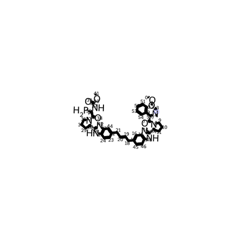 COO/C=N\[C@@H](C(=O)N1CCC[C@H]1c1nc2cc(CC=CCc3ccc4[nH]c([C@@H]5CCCN5C(=O)[C@@H](P)NC(=O)OC)nc4c3)ccc2[nH]1)c1ccccc1